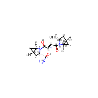 NC(=O)[C@@H]1C[C@@H]2C[C@@H]2N1C(=O)/C=C/C(=O)N1[C@H](C=O)C[C@@H]2C[C@@H]21